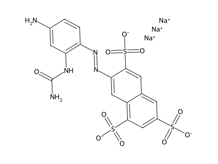 NC(=O)Nc1cc(N)ccc1N=Nc1cc2c(S(=O)(=O)[O-])cc(S(=O)(=O)[O-])cc2cc1S(=O)(=O)[O-].[Na+].[Na+].[Na+]